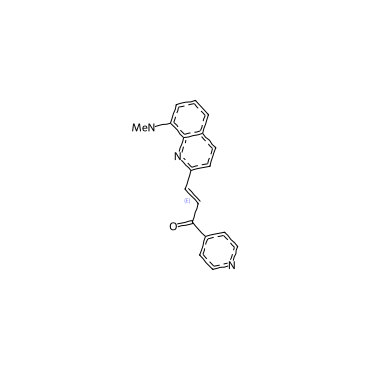 CNc1cccc2ccc(/C=C/C(=O)c3ccncc3)nc12